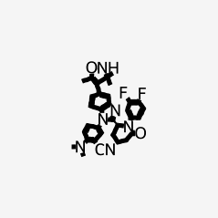 CC1=C(c2ccc3c(c2)nc([C@@H]2CCCC(=O)N2c2ccc(F)c(F)c2)n3-c2ccc(N(C)C)c(C#N)c2)C(C)(C)NO1